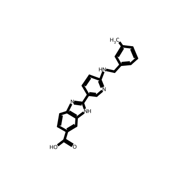 Cc1cccc(CNc2ccc(-c3nc4ccc(C(=O)O)cc4[nH]3)cn2)c1